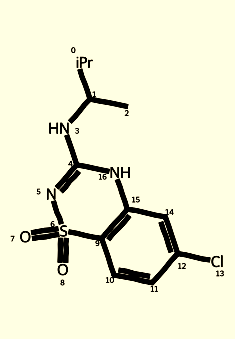 CC(C)C(C)NC1=NS(=O)(=O)c2ccc(Cl)cc2N1